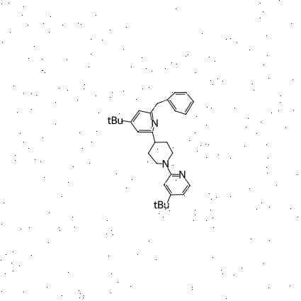 CC(C)(C)c1cc(Cc2ccccc2)nc(C2CCN(c3cc(C(C)(C)C)ccn3)CC2)c1